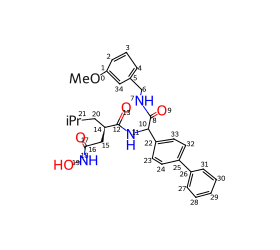 COc1cccc(CNC(=O)C(NC(=O)[C@@H](CC(=O)NO)CC(C)C)c2ccc(-c3ccccc3)cc2)c1